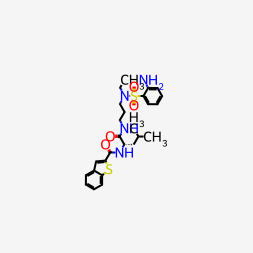 CCN(CCCNC(=O)[C@H](CC(C)C)NC(=O)c1cc2ccccc2s1)S(=O)(=O)c1ccccc1N